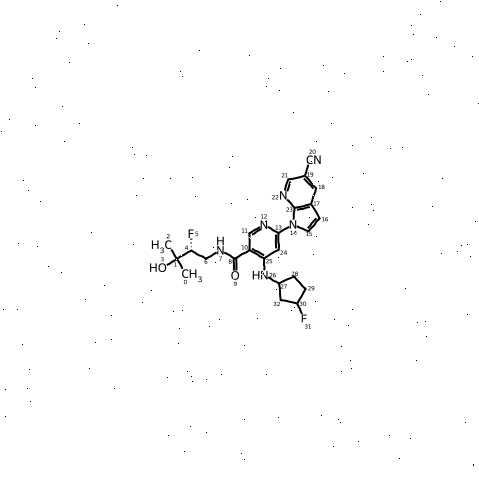 CC(C)(O)[C@H](F)CNC(=O)c1cnc(-n2ccc3cc(C#N)cnc32)cc1NC1CCC(F)C1